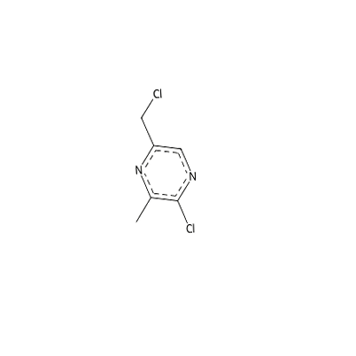 Cc1nc(CCl)cnc1Cl